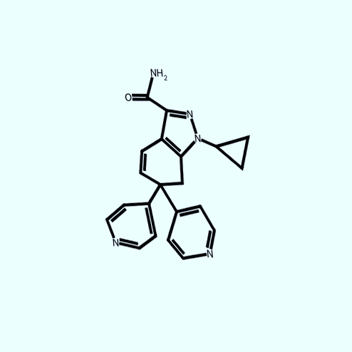 NC(=O)c1nn(C2CC2)c2c1C=CC(c1ccncc1)(c1ccncc1)C2